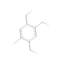 [CH2]c1cc(CF)c(CF)cc1CF